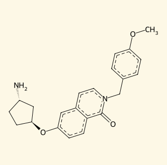 COc1ccc(Cn2ccc3cc(O[C@H]4CC[C@H](N)C4)ccc3c2=O)cc1